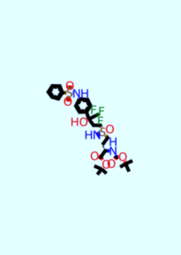 CC(C)(C)OC(=O)N[C@@H](CCS(=N)(=O)CCC(O)(c1ccc(NS(=O)(=O)c2ccccc2)cc1)C(F)(F)F)C(=O)OC(C)(C)C